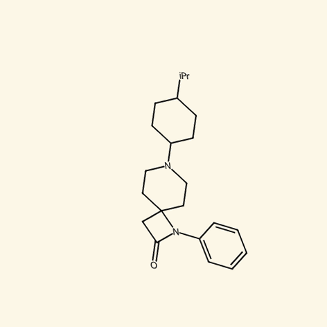 CC(C)C1CCC(N2CCC3(CC2)CC(=O)N3c2ccccc2)CC1